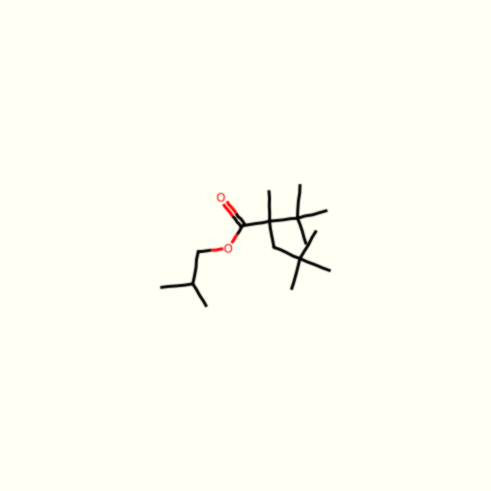 CC(C)COC(=O)C(C)(CC(C)(C)C)C(C)(C)C